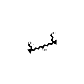 CCCC1(CCCCC(O)CCCCC2(CCCO)CC2)CC1